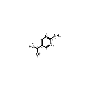 Nc1ncc(C(O)O)cn1